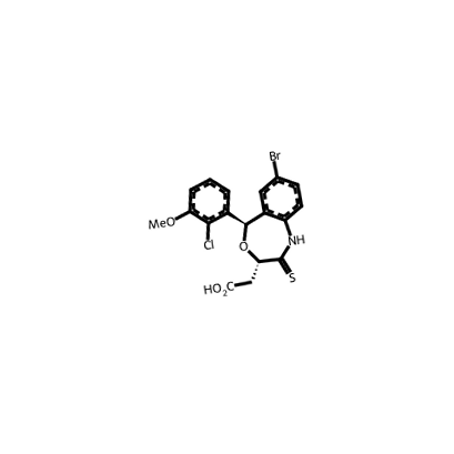 COc1cccc([C@@H]2O[C@@H](CC(=O)O)C(=S)Nc3ccc(Br)cc32)c1Cl